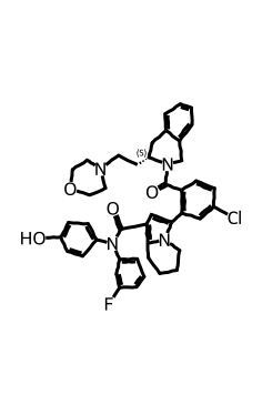 O=C(c1cc(-c2cc(Cl)ccc2C(=O)N2Cc3ccccc3C[C@H]2CCN2CCOCC2)n2c1CCCC2)N(c1ccc(O)cc1)c1cccc(F)c1